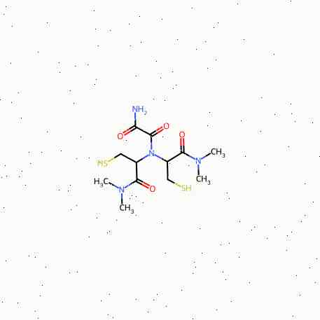 CN(C)C(=O)C(CS)N(C(=O)C(N)=O)C(CS)C(=O)N(C)C